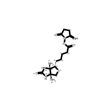 N=C1CCC(=O)N1OC(=O)CCCC[C@@H]1SC[C@]2(N)NC(=O)N[C@]12N